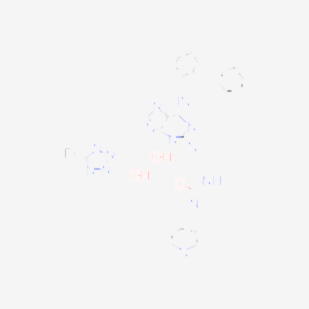 CCc1nnn([C@H]2C[C@@H](n3cnc4c(NCC(c5ccccc5)c5ccccc5)nc(N5CCC(NC(=O)NCc6ccncc6)C5)nc43)[C@H](O)[C@@H]2O)n1